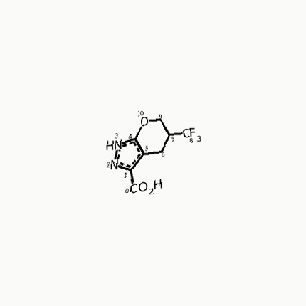 O=C(O)c1n[nH]c2c1CC(C(F)(F)F)CO2